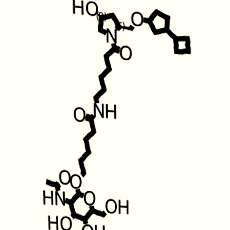 CC(=O)NC1C(OCCCCCC(=O)NCCCCCC(=O)N2C[C@H](O)C[C@H]2COC2CCC(C3CCC3)C2)OC(CO)C(O)C1O